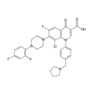 O=C(O)c1cn(-c2ccc(CN3CCCC3)cc2)c2c(Cl)c(N3CCN(c4ccc(F)cc4F)CC3)c(F)cc2c1=O